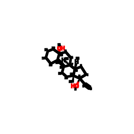 C#C[C@]1(O)CC[C@H]2[C@@H]3CC[C@@]4(O)CCCCC4=C3CC[C@@]21C